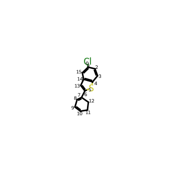 Clc1ccc2sc(C3=CC=CCC3)cc2c1